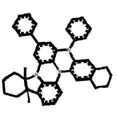 CC12CCCC[C@@]1(C)c1cccc3c1N2c1cc(-c2ccccc2)cc2c1B3c1cc3c(cc1N2c1ccccc1)CCCC3